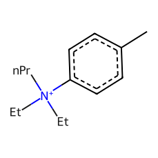 CCC[N+](CC)(CC)c1ccc(C)cc1